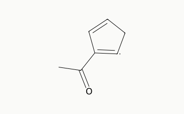 CC(=O)C1=[C]CC=C1